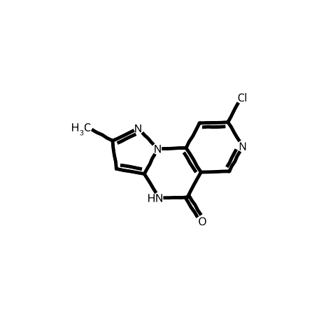 Cc1cc2[nH]c(=O)c3cnc(Cl)cc3n2n1